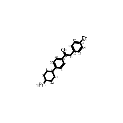 CCCC1CCC(c2ccc(C(=O)Cc3ccc(CC)cc3)cc2)CC1